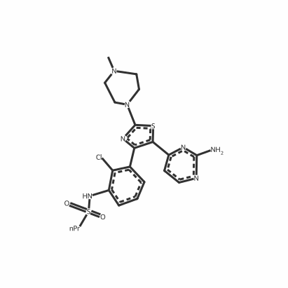 CCCS(=O)(=O)Nc1cccc(-c2nc(N3CCN(C)CC3)sc2-c2ccnc(N)n2)c1Cl